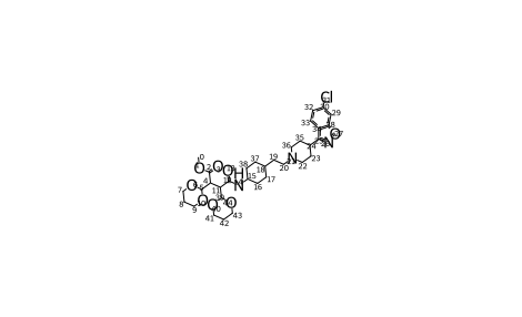 COC(=O)C(C1OCCCO1)C(C(=O)NC1CCC(CCN2CCC(c3noc4cc(Cl)ccc34)CC2)CC1)C1OCCCO1